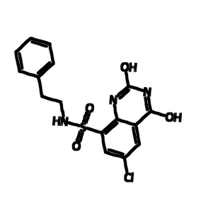 O=S(=O)(NCCc1ccccc1)c1cc(Cl)cc2c(O)nc(O)nc12